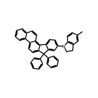 Cc1ccc2c(c1)CCN2c1ccc2c(c1)C(c1ccccc1)(c1ccccc1)c1ccc3c(ccc4ccccc43)c1-2